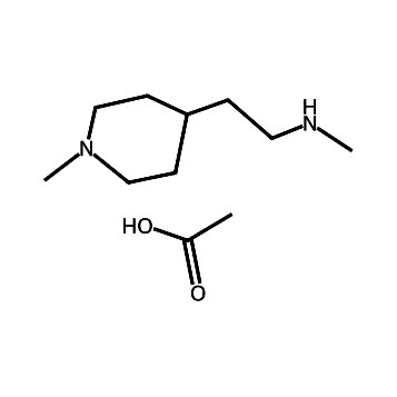 CC(=O)O.CNCCC1CCN(C)CC1